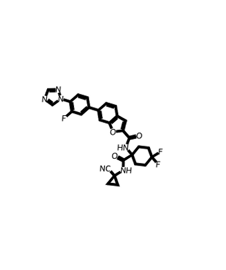 N#CC1(NC(=O)C2(NC(=O)c3cc4ccc(-c5ccc(-n6cncn6)c(F)c5)cc4o3)CCC(F)(F)CC2)CC1